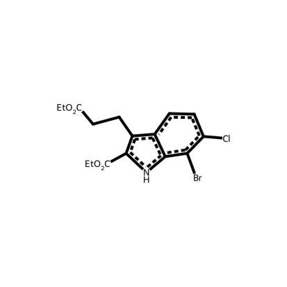 CCOC(=O)CCc1c(C(=O)OCC)[nH]c2c(Br)c(Cl)ccc12